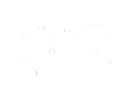 CCC1(OS(=O)OC2(CC)CCCC(F)C2)CCCC(F)C1